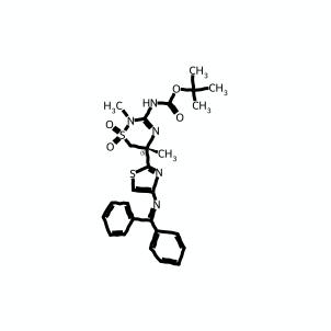 CN1C(NC(=O)OC(C)(C)C)=N[C@](C)(c2nc(N=C(c3ccccc3)c3ccccc3)cs2)CS1(=O)=O